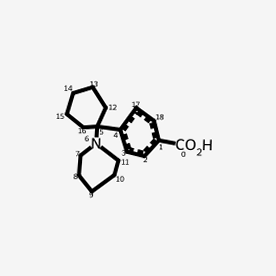 O=C(O)c1ccc(C2(N3CCCCC3)CCCCC2)cc1